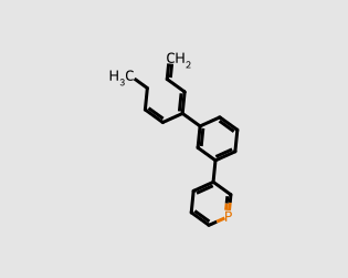 C=C/C=C(\C=C/CC)c1cccc(-c2cccpc2)c1